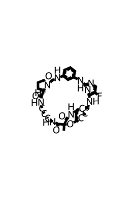 CC12Oc3ccc(cc3NC1=O)Nc1nc(ncc1F)Nc1cccc(c1)NC(=O)N1CCC[C@@H]1C(=O)NCCCNC2=O